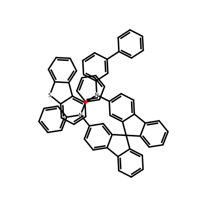 c1ccc(-c2cccc(N(c3ccc4c(c3)C3(c5ccccc5-c5ccc(N(c6ccccc6)c6ccccc6)cc53)c3ccccc3-4)c3cccc4sc5ccccc5c34)c2)cc1